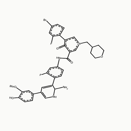 COc1cc(C2=CNC(N)C(c3ccc(NC(=O)c4cn(CC5CCOCC5)cc(-c5ccc(Br)cc5F)c4=O)cc3F)=C2)ccc1O